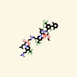 CCOC(=O)C[C@H](NC(=O)C(CC(C)C)n1cc(CCN(C)CCOC(=O)C(CC(C)C)n2cc(CCN(C)C)c(C(F)(F)F)cc2=O)c(C(F)(F)F)cc1=O)c1c(F)c(-c2c(C)cccc2C)cc(C(F)(F)F)c1F